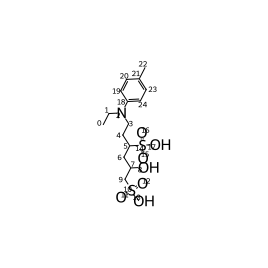 CCN(CCC(CC(O)CS(=O)(=O)O)S(=O)(=O)O)c1ccc(C)cc1